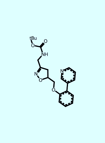 CC(C)(C)OC(=O)NCC1=NOC(COc2ccccc2-c2cccnc2)C1